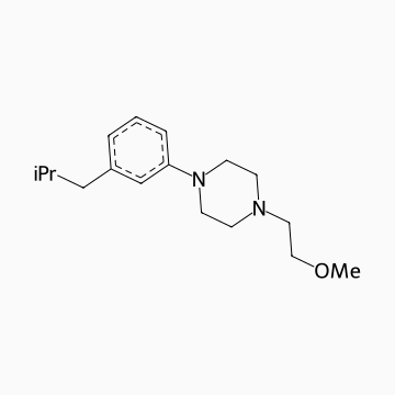 COCCN1CCN(c2cccc(CC(C)C)c2)CC1